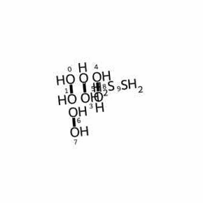 OO.OO.OO.OO.S.S